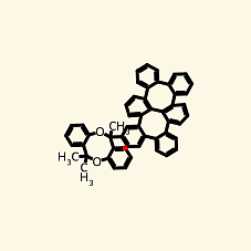 CC1(C)Oc2ccccc2C(C)(c2ccc3c(c2)c2cccc4c2-c2c(cccc2c2ccccc23)c2ccccc2c2ccccc42)Oc2ccccc21